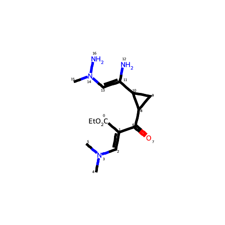 CCOC(=O)/C(=C\N(C)C)C(=O)C1CC1/C(N)=C/N(C)N